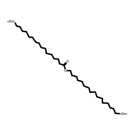 CCCCCCCCCCCCCCCCCCCCCCCCCCOC(=O)CCCCCCCCCCCCCCCCCCCCCCCCC